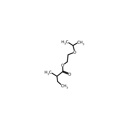 CCC(C)C(=O)OCCOC(C)C